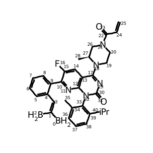 BC(B)=Cc1ccccc1-c1nc2c(cc1F)c(N1CCN(C(=O)C=C)C[C@@H]1C)nc(=O)n2-c1c(C)cccc1C(C)C